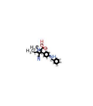 CCc1c(C#N)c(-c2ccc(NCc3ccccc3)cc2)c(C(=O)O)n1C